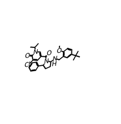 COc1ccc(C(C)(C)C)cc1CNC1CCC(c2ccccc2)N1C(=O)c1cc(Cl)c(=O)n(C(C)C)c1